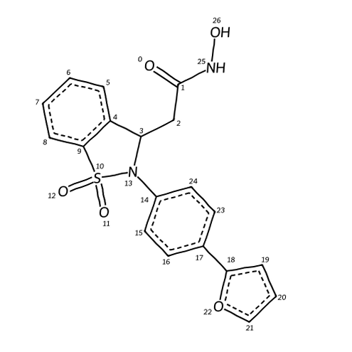 O=C(CC1c2ccccc2S(=O)(=O)N1c1ccc(-c2ccco2)cc1)NO